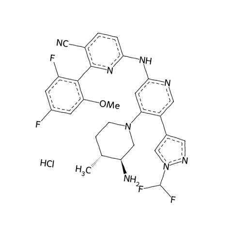 COc1cc(F)cc(F)c1-c1nc(Nc2cc(N3CC[C@@H](C)[C@H](N)C3)c(-c3cnn(C(F)F)c3)cn2)ccc1C#N.Cl